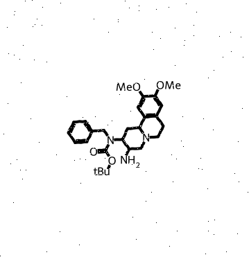 COc1cc2c(cc1OC)C1CC(N(Cc3ccccc3)C(=O)OC(C)(C)C)C(N)CN1CC2